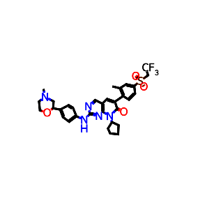 Cc1cc(S(=O)(=O)CC(F)(F)F)ccc1-c1cc2cnc(Nc3ccc(C4CN(C)CCO4)cc3)nc2n(C2CCCC2)c1=O